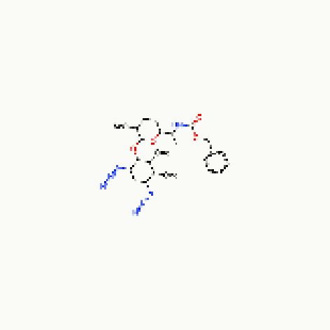 CC(=O)OC1CCC(C(C)NC(=O)OCc2ccccc2)OC1OC1C(N=[N+]=[N-])CC(N=[N+]=[N-])C(OC(C)=O)C1OC(C)=O